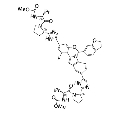 COC(=O)N[C@H](C(=O)N1CCC[C@H]1c1ncc(-c2cc(F)c3c(c2)OC(c2ccc4c(c2)OCC4)n2c-3cc3cc(-c4cnc([C@@H]5CCCN5C(=O)[C@@H](NC(=O)OC)C(C)C)[nH]4)ccc32)[nH]1)C(C)C